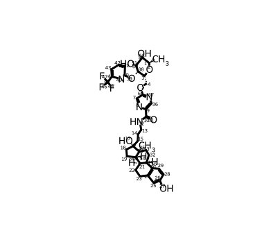 C[C@H]1O[C@H](COc2cnc(C(=O)NCCC[C@]3(O)CC[C@H]4[C@@H]5CCc6cc(O)ccc6[C@H]5CC[C@@]43C)cn2)[C@H](Oc2cccc(C(F)(F)F)n2)[C@@H](O)[C@H]1O